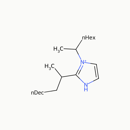 CCCCCCCCCCCC(C)c1[nH]cc[n+]1C(C)CCCCCC